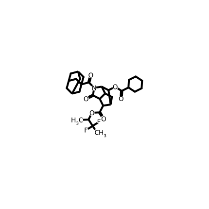 CC(OC(=O)C1C2CC3C1C(=O)N(C(=O)C14CC5CC(CC(C5)C1)C4)C3C2OC(=O)C1CCCCC1)C(C)(F)F